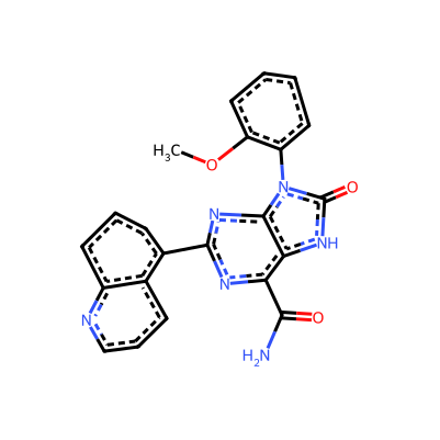 COc1ccccc1-n1c(=O)[nH]c2c(C(N)=O)nc(-c3cccc4ncccc34)nc21